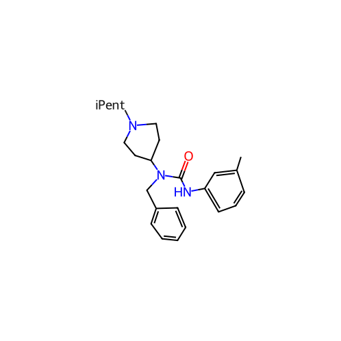 CCCC(C)N1CCC(N(Cc2ccccc2)C(=O)Nc2cccc(C)c2)CC1